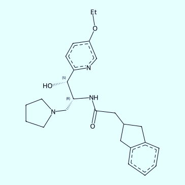 CCOc1ccc([C@@H](O)[C@@H](CN2CCCC2)NC(=O)CC2Cc3ccccc3C2)nc1